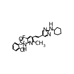 Cc1nc(N[S+]([O-])c2ccccc2Cl)c(F)cc1/C=C/c1cnc(NC2CCCCC2)nc1